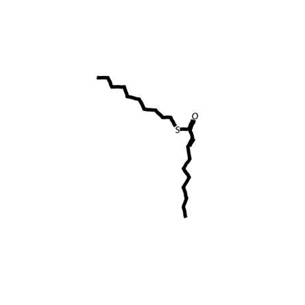 CCCCCCC/C=C/C(=O)SCCCCCCCCCC